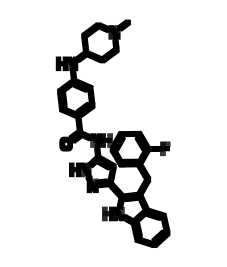 CN1CCC(Nc2ccc(C(=O)Nc3cc(-c4[nH]c5ccccc5c4Cc4ccccc4F)n[nH]3)cc2)CC1